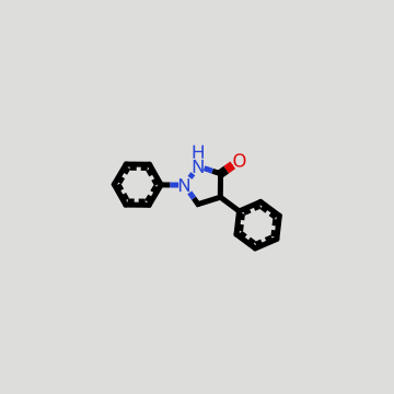 O=C1NN(c2ccccc2)CC1c1ccccc1